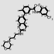 Cc1ccc(C(=O)Nc2cc(C(F)(F)F)ccc2F)cc1-c1ccc2nc(NCCCN3CCOCC3)ncc2c1